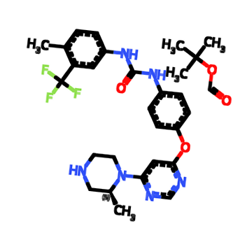 CC(C)(C)OC=O.Cc1ccc(NC(=O)Nc2ccc(Oc3cc(N4CCNC[C@@H]4C)ncn3)cc2)cc1C(F)(F)F